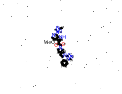 COc1cnc(-n2cnc(C)n2)c2[nH]cc(C(=O)C(=O)N3CCC4(CCN(c5nncn5-c5ccccc5)C4)C3)c12